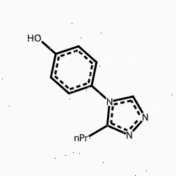 CCCc1nncn1-c1ccc(O)cc1